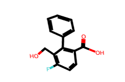 O=C(O)c1ccc(F)c(CO)c1-c1ccccc1